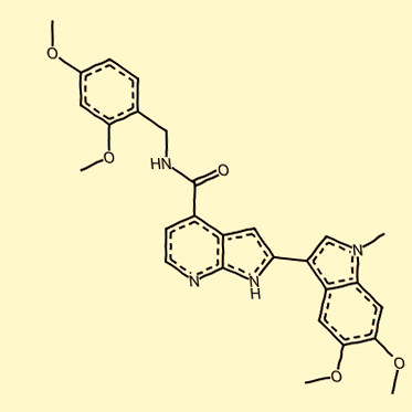 COc1ccc(CNC(=O)c2ccnc3[nH]c(-c4cn(C)c5cc(OC)c(OC)cc45)cc23)c(OC)c1